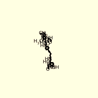 CCc1nc2c(cnn2CC)c(NC2CCOCC2)c1CNC(=O)Nc1ccc(C#CCCCNC[C@H](O)c2ccc(O)c3c2OCC(=O)N3)cc1